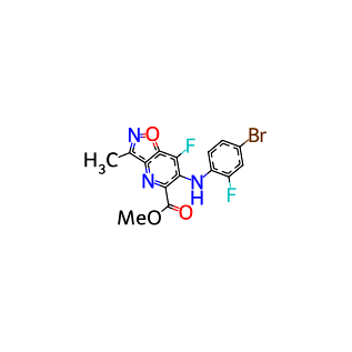 COC(=O)c1nc2c(C)noc2c(F)c1Nc1ccc(Br)cc1F